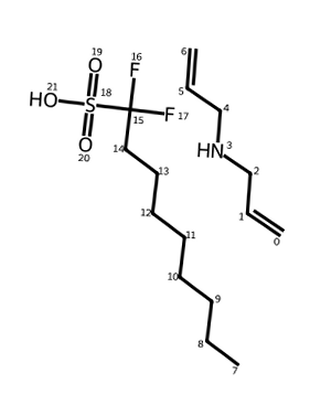 C=CCNCC=C.CCCCCCCCC(F)(F)S(=O)(=O)O